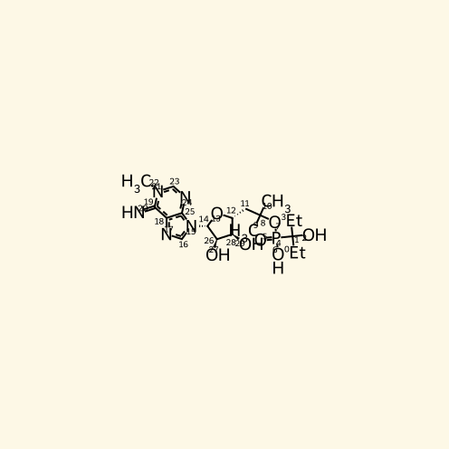 CCC(O)(CC)P(=O)(O)OC(C)(C)C[C@H]1O[C@@H](n2cnc3c(=N)n(C)cnc32)[C@H](O)[C@@H]1O